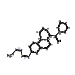 C/C=C\C=C/c1ccc2c(ccc3c(C(=N)c4ccccc4)cccc32)c1